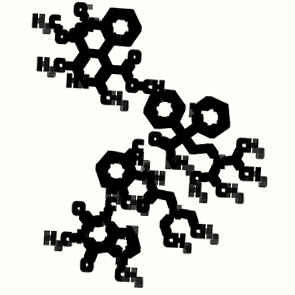 CC(C)N(CCC(C(N)=O)(c1ccccc1)c1ccccn1)C(C)C.CCN(CC)CC(=O)Nc1c(C)cccc1C.COC(=O)C1=C(C)NC(C)=C(C(=O)OC)C1c1ccccc1[N+](=O)[O-].Cn1c(=O)c2c(ncn2C)n(C)c1=O